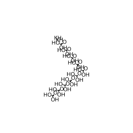 O=C(O)O.O=C(O)O.O=C(O)O.O=C(O)O.O=C(O)O.O=C(O)O.O=C(O)O.O=C(O)O.O=C(O)O.O=C(O)O.[KH].[KH]